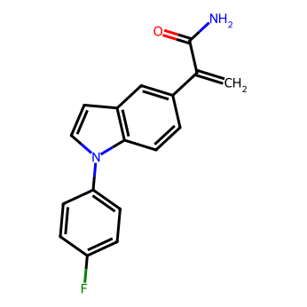 C=C(C(N)=O)c1ccc2c(ccn2-c2ccc(F)cc2)c1